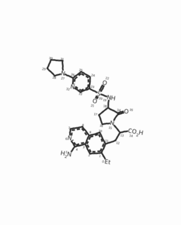 CCc1cc2c(N)nccc2cc1CC(C(=O)O)N1CCC(NS(=O)(=O)c2ccc(N3CCCC3)nc2)C1=O